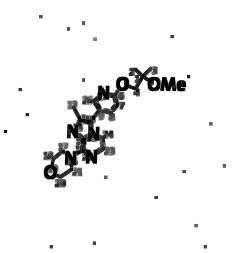 COC(C)(C)COc1ccc(-c2c(C)nc3c(N4CCOCC4)nccn23)cn1